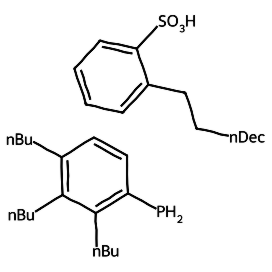 CCCCCCCCCCCCc1ccccc1S(=O)(=O)O.CCCCc1ccc(P)c(CCCC)c1CCCC